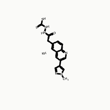 Cn1cc(-c2cnc3ccc(CC(=O)NNC(=S)S)cc3c2)cn1.[KH]